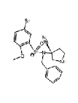 COc1ccc(Br)cc1S(=O)(=O)N(Cc1ccccc1)[C@]1(C#N)CCNC1